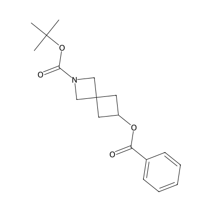 CC(C)(C)OC(=O)N1CC2(CC(OC(=O)c3ccccc3)C2)C1